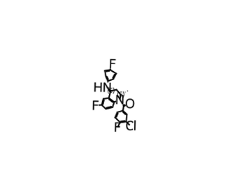 C[C@H]1C[C@H](Nc2ccc(F)cc2)c2cc(F)ccc2N1C(=O)c1ccc(F)c(Cl)c1